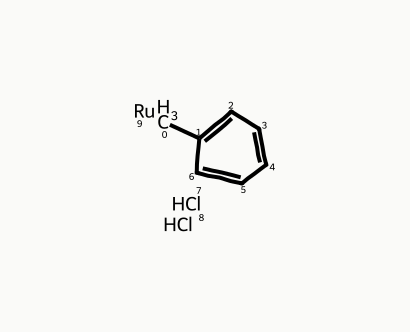 Cc1ccccc1.Cl.Cl.[Ru]